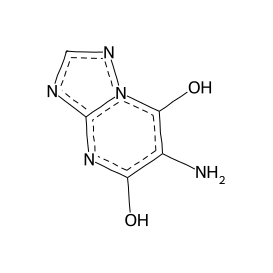 Nc1c(O)nc2ncnn2c1O